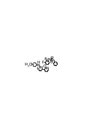 CN1CCC(Nc2nccc(-c3cccnc3Oc3ccc(NS(=O)(=O)Cc4ccccc4)c(F)c3F)n2)CC1